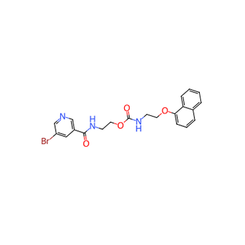 O=C(NCCOc1cccc2ccccc12)OCCNC(=O)c1cncc(Br)c1